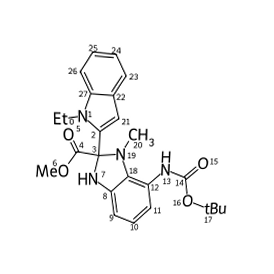 CCn1c(C2(C(=O)OC)Nc3cccc(NC(=O)OC(C)(C)C)c3N2C)cc2ccccc21